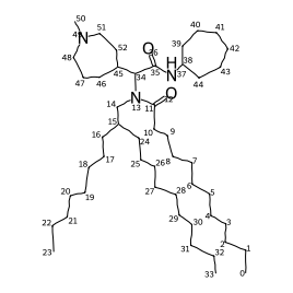 CCCCCCCCCCCC(=O)N(CC(CCCCCCCC)CCCCCCCCCC)C(C(=O)NC1CCCCCC1)C1CCCN(C)CC1